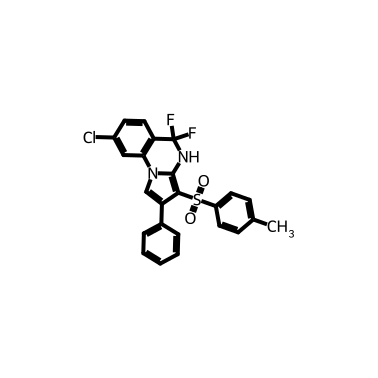 Cc1ccc(S(=O)(=O)c2c(-c3ccccc3)cn3c2NC(F)(F)c2ccc(Cl)cc2-3)cc1